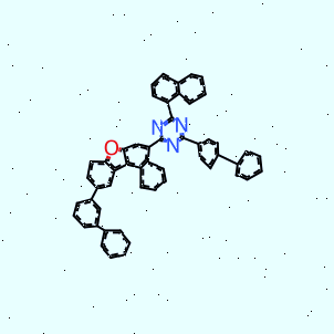 c1ccc(-c2ccc(-c3nc(-c4cccc5ccccc45)nc(-c4cc5oc6ccc(-c7cccc(-c8ccccc8)c7)cc6c5c5ccccc45)n3)cc2)cc1